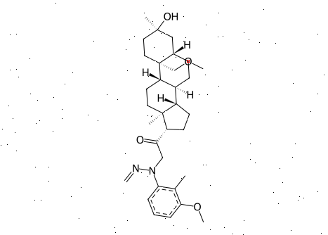 C=NN(CC(=O)[C@H]1CC[C@H]2[C@@H]3CC[C@H]4C[C@](C)(O)CC[C@]4(COC)[C@H]3CC[C@]12C)c1cccc(OC)c1C